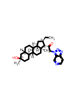 CC[C@@H]1C[C@H]2[C@@H]3CC[C@H]4C[C@](C)(O)CC[C@]4(C)[C@H]3CC[C@]2(C)[C@H]1C(=O)Cn1nnc2ccncc21